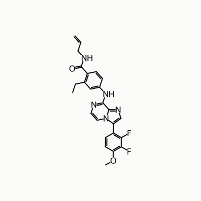 C=CCNC(=O)c1ccc(Nc2nccn3c(-c4ccc(OC)c(F)c4F)cnc23)cc1CC